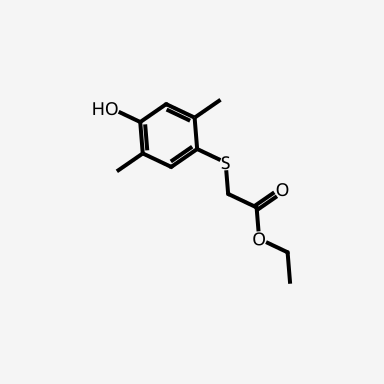 CCOC(=O)CSc1cc(C)c(O)cc1C